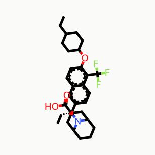 CCC1CCC(Oc2ccc3cc([C@@H](CC)N4C5CCCC4CC(C(=O)O)C5)ccc3c2C(F)(F)F)CC1